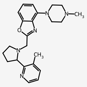 Cc1cccnc1C1CCCN1Cc1nc2c(N3CCN(C)CC3)cccc2o1